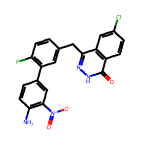 Nc1ccc(-c2cc(Cc3n[nH]c(=O)c4ccc(Cl)cc34)ccc2F)cc1[N+](=O)[O-]